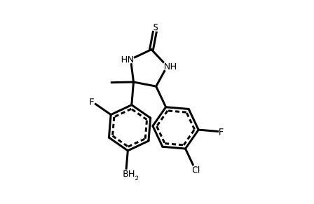 Bc1ccc(C2(C)NC(=S)NC2c2ccc(Cl)c(F)c2)c(F)c1